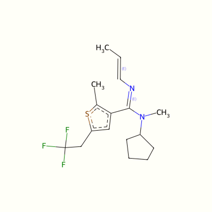 C/C=C/N=C(\c1cc(CC(F)(F)F)sc1C)N(C)C1CCCC1